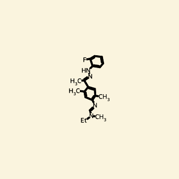 CCN(C)/C=N/c1cc(C)c(/C(C)=N/Nc2ccccc2F)cc1C